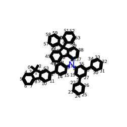 CC1(C)c2ccccc2-c2ccc(-c3ccc(N(c4cc(-c5ccccc5)cc(-c5ccccc5)c4)c4cccc5c4-c4ccccc4C5(c4ccccc4)c4ccccc4)cc3)cc21